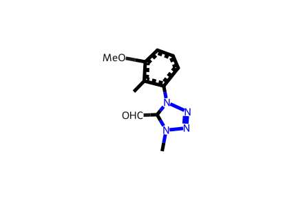 COc1cccc(N2N=NN(C)C2C=O)c1C